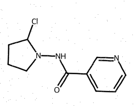 O=C(NN1CCCC1Cl)c1cccnc1